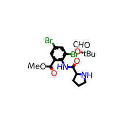 CC(C)(C)OC=O.COC(=O)c1cc(Br)cc(Br)c1NC(=O)C1CCCN1